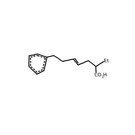 CCC(CC=CCCc1ccccc1)C(=O)O